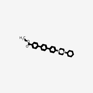 CCOC(=O)c1ccc(-c2ccc(-c3ccc(N4CCN(C5CCCCC5)CC4)cc3)cc2)cc1